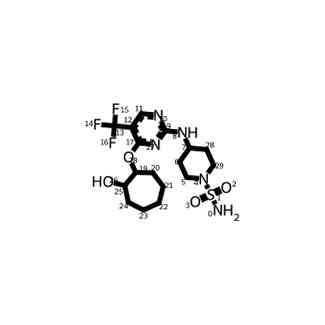 NS(=O)(=O)N1CCC(Nc2ncc(C(F)(F)F)c(OC3CCCCCC3O)n2)CC1